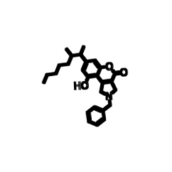 CCCCCC(C)C(C)c1cc(O)c2c3c(c(=O)oc2c1)CN(Cc1ccccc1)C3